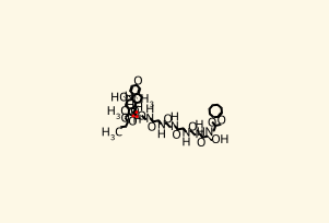 CCCC1O[C@@H]2C[C@H]3[C@@H]4CCC5=CC(=O)C=C[C@]5(C)[C@H]4[C@@H](O)C[C@]3(C)[C@]2(C(=O)COCNC(=O)CNC(=O)CNC(=O)CNC(=O)CNC(=O)[C@H](CO)NCC(C=O)OC2/C=C\CCCCC2)O1